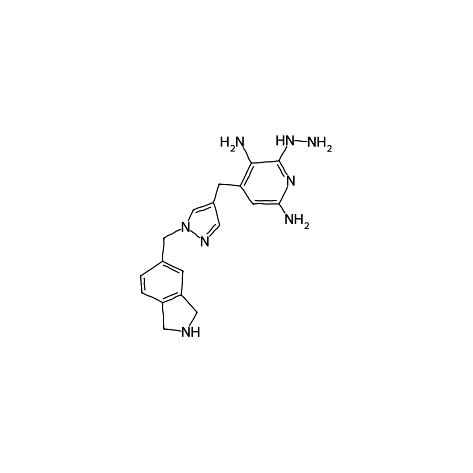 NNc1nc(N)cc(Cc2cnn(Cc3ccc4c(c3)CNC4)c2)c1N